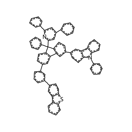 c1ccc(-c2cc(-c3ccccc3)nc(C3(c4ccccc4)c4ccc(-c5cccc(-c6ccc7sc8ccccc8c7c6)c5)cc4-c4cc(-c5ccc6c(c5)c5ccccc5n6-c5ccccc5)ccc43)c2)cc1